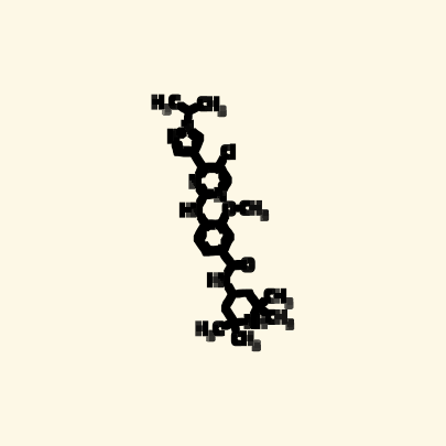 COc1cc(C(=O)NC2CC(C)(C)NC(C)(C)C2)ccc1Nc1ncc(Cl)c(-c2cnn(C(C)C)c2)n1